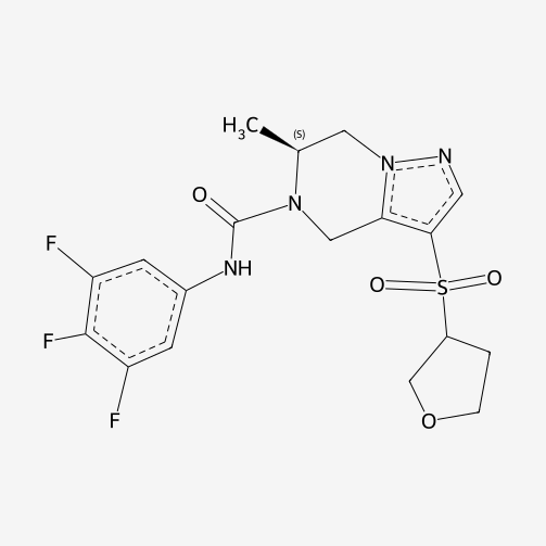 C[C@H]1Cn2ncc(S(=O)(=O)C3CCOC3)c2CN1C(=O)Nc1cc(F)c(F)c(F)c1